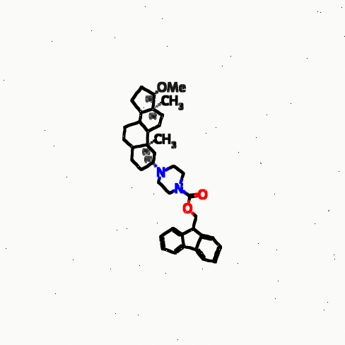 CO[C@H]1CCC2C3CCC4CC[C@@H](N5CCN(C(=O)OCC6c7ccccc7-c7ccccc76)CC5)C[C@]4(C)C3CC[C@@]21C